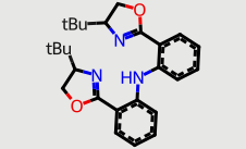 CC(C)(C)C1COC(c2ccccc2Nc2ccccc2C2=NC(C(C)(C)C)CO2)=N1